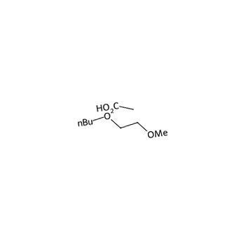 CC(=O)O.CCCCOCCOC